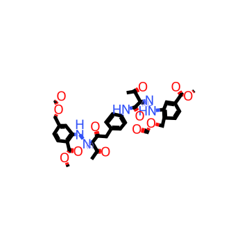 COC(=O)c1ccc(COC=O)c(N/N=C(/C(C)=O)C(=O)Nc2ccc(CC(=O)/C(=N\Nc3cc(COC=O)ccc3C(=O)OC)C(C)=O)cc2)c1